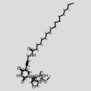 CCCCCCCCCCCCCCCCCC(=O)NCC#Cc1cn([C@@H]2O[C@]3(COC)COC2[C@@H]3OP(C)(=O)O)c(=O)[nH]c1=O